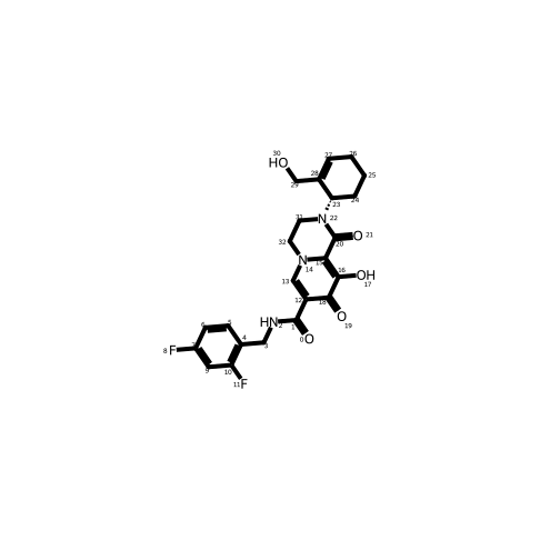 O=C(NCc1ccc(F)cc1F)c1cn2c(c(O)c1=O)C(=O)N([C@H]1CCCC=C1CO)CC2